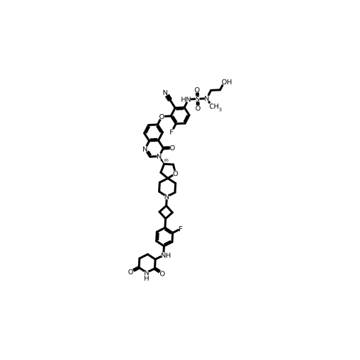 CN(CCO)S(=O)(=O)Nc1ccc(F)c(Oc2ccc3ncn([C@H]4COC5(CCN(C6CC(c7ccc(NC8CCC(=O)NC8=O)cc7F)C6)CC5)C4)c(=O)c3c2)c1C#N